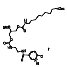 CCCCCCCCCCCCCCCCCCNC(=O)OCC(COC(=O)NCCNC(=O)c1ccc(Cl)[n+](CC)c1)OC.[I-]